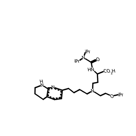 CC(C)OCCN(CCCCc1ccc2c(n1)NCCC2)CCC(NC(=O)N(C(C)C)C(C)C)C(=O)O